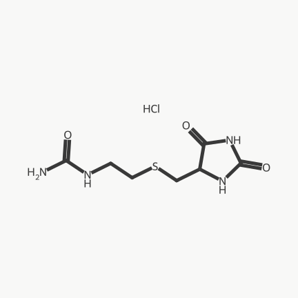 Cl.NC(=O)NCCSCC1NC(=O)NC1=O